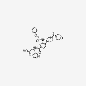 O=C(O)CC(NC(=O)c1ccc(N2CCN(C(=O)N3CCOCC3)CC2)c(NC(=O)COc2ccccc2)c1)c1cccnc1